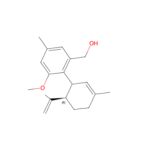 C=C(C)[C@@H]1CCC(C)=CC1c1c(CO)cc(C)cc1OC